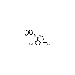 Cl.OCCN1CCN=C(/C=C/c2ccc(Cl)c(Cl)c2)c2ccccc21